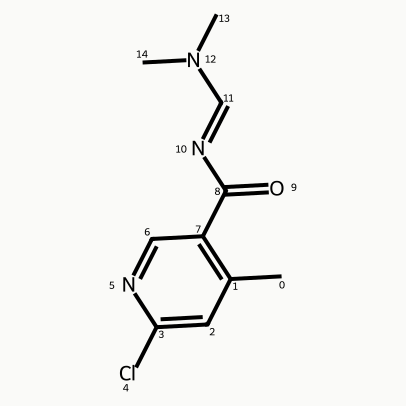 Cc1cc(Cl)ncc1C(=O)/N=C/N(C)C